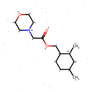 CC1CCC(COC(=O)CN2CCOCC2)C(C)C1